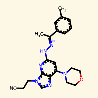 C/C(=N\Nc1cc(N2CCOCC2)c2ncn(CCC#N)c2n1)c1cccc(C)c1